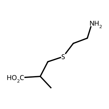 CC(CSCCN)C(=O)O